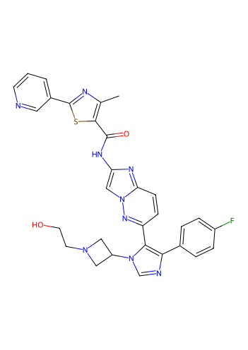 Cc1nc(-c2cccnc2)sc1C(=O)Nc1cn2nc(-c3c(-c4ccc(F)cc4)ncn3C3CN(CCO)C3)ccc2n1